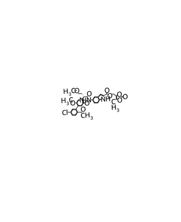 COCC[C@H](C(=O)Nc1ccc2[nH]c(C(=O)OCc3oc(=O)oc3C)cc2c1)n1cc(OC)c(-c2cc(Cl)ccc2C(C)=O)cc1=O